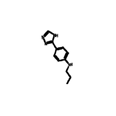 CCCNc1ccc(-c2nnc[nH]2)cc1